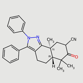 CC1(C)C(=O)C(C#N)C[C@]2(C)c3nn(-c4ccccc4)c(-c4ccccc4)c3CC[C@@H]12